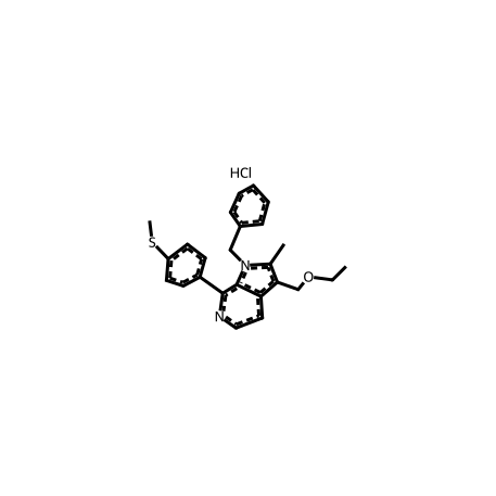 CCOCc1c(C)n(Cc2ccccc2)c2c(-c3ccc(SC)cc3)nccc12.Cl